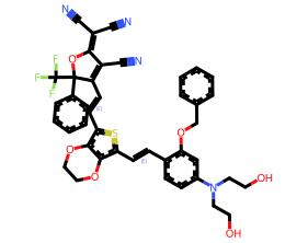 N#CC(C#N)=C1OC(c2ccccc2)(C(F)(F)F)C(/C=C/c2sc(/C=C/c3ccc(N(CCO)CCO)cc3OCc3ccccc3)c3c2OCCO3)=C1C#N